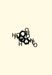 O=C=Nc1ccc2c3c1O[C@H]1C(=O)CC[C@@]4(O)[C@@H](C2)NCC[C@]314